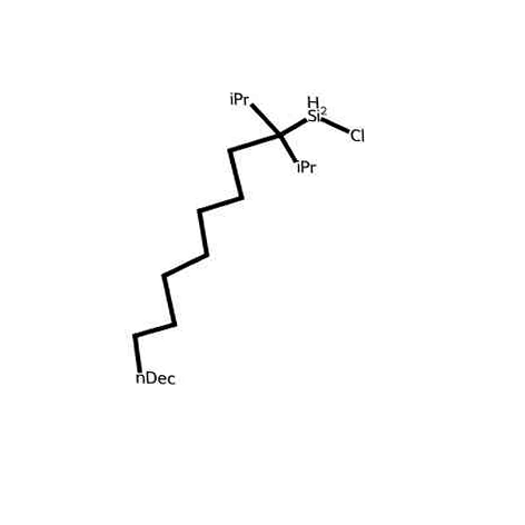 CCCCCCCCCCCCCCCCCC([SiH2]Cl)(C(C)C)C(C)C